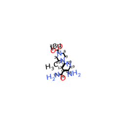 CC1CN(C(=O)OC(C)(C)C)CCN1c1cc(C(N)=O)c(N)cn1